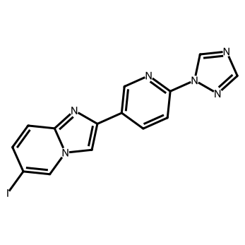 Ic1ccc2nc(-c3ccc(-n4cncn4)nc3)cn2c1